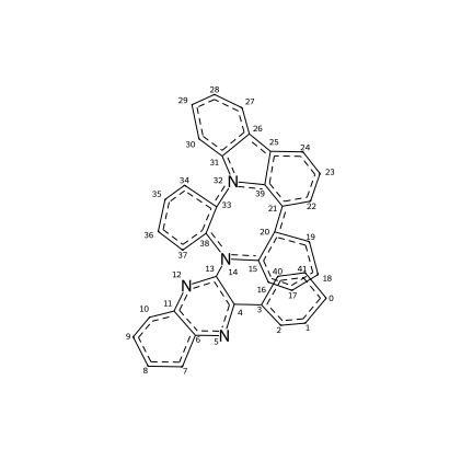 c1ccc(-c2nc3ccccc3nc2-n2c3ccccc3c3cccc4c5ccccc5n(c5ccccc52)c34)cc1